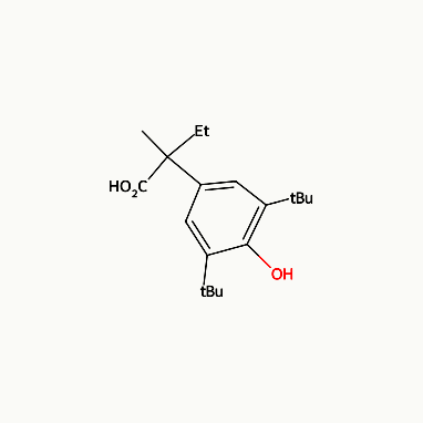 CCC(C)(C(=O)O)c1cc(C(C)(C)C)c(O)c(C(C)(C)C)c1